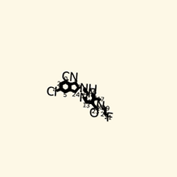 N#Cc1cc(Cl)cc2c1C[C@@H](Nc1ncc3c(n1)CN(CCF)C3=O)C2